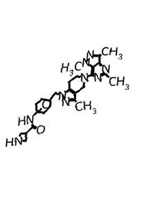 Cc1nc(N2CCc3c(c(C)nn3CC34CCC(NC(=O)C5CNC5)(CC3)CC4)C2)c2c(n1)c(C)nn2C